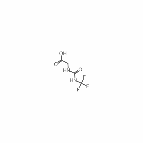 O=C(O)CNC(=O)NC(F)(F)F